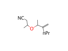 C=C(CCC)C(C)OC(C)CC#N